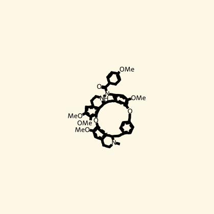 COC1=CCC(C(=O)N2c3cc(OC)c4cc3C[C@H]3c5c(cc(OC)c(OC)c5Oc5cc6c(cc5OC)CCN(C)C6Cc5ccc(cc5)O4)CCN32)C=C1